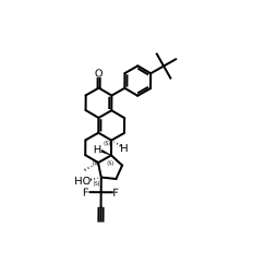 C#CC(F)(F)[C@]1(O)CC[C@H]2[C@@H]3CCC4=C(c5ccc(C(C)(C)C)cc5)C(=O)CCC4=C3CC[C@@]21C